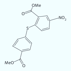 COC(=O)c1ccc(Sc2ccc([N+](=O)[O-])cc2C(=O)OC)cc1